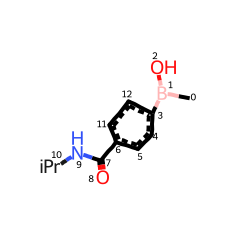 CB(O)c1ccc(C(=O)NC(C)C)cc1